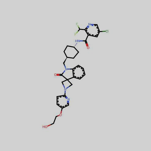 O=C(N[C@H]1CC[C@H](CN2C(=O)C3(CN(c4ccc(OCCO)cn4)C3)c3ccccc32)CC1)c1cc(Cl)cnc1C(F)F